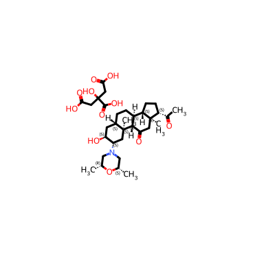 CC(=O)[C@H]1CC[C@H]2[C@@H]3CC[C@H]4C[C@H](O)[C@@H](N5C[C@@H](C)O[C@@H](C)C5)C[C@]4(C)[C@H]3C(=O)C[C@]12C.O=C(O)CC(O)(CC(=O)O)C(=O)O